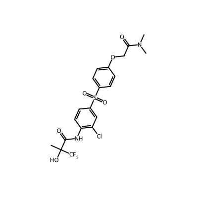 CN(C)C(=O)COc1ccc(S(=O)(=O)c2ccc(NC(=O)C(C)(O)C(F)(F)F)c(Cl)c2)cc1